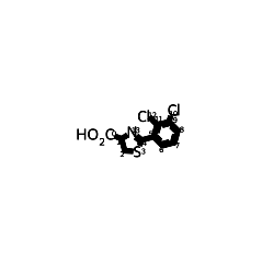 O=C(O)C1CSC(c2cccc(Cl)c2Cl)=N1